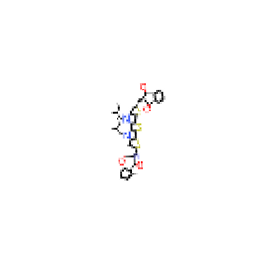 CCC(C)Cn1c2cc(C=C3C(=O)c4ccccc4C3=O)sc2c2sc3c4sc(/C=C(\C=O)C(=O)c5ccccc5C)cc4n(CC(C)CC)c3c21